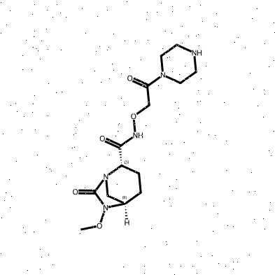 CON1C(=O)N2C[C@H]1CC[C@H]2C(=O)NOCC(=O)N1CCNCC1